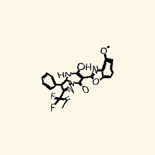 COc1cccc2oc(-c3c(O)[nH]c4c(-c5ccccc5)c(C(F)(F)F)nn4c3=O)nc12